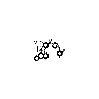 COc1cc(C(=O)N2CCN(Cc3ccc(F)cc3F)CC2)ccc1NS(=O)(=O)C1CC2(CCCC2)Cc2cccnc21